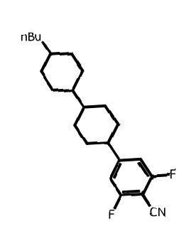 CCCCC1CCC(C2CCC(c3cc(F)c(C#N)c(F)c3)CC2)CC1